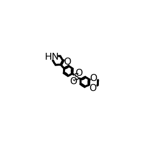 O=S(=O)(c1ccc2c(c1)OCCO2)c1ccc2c3c(oc2c1)CNCC3